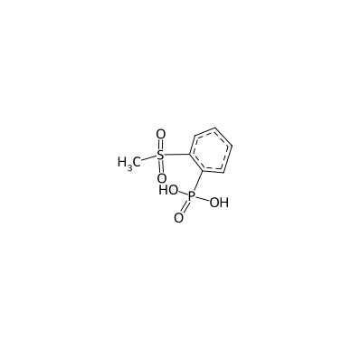 CS(=O)(=O)c1ccccc1P(=O)(O)O